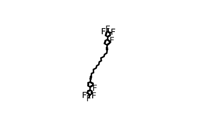 Fc1cc(C#CCCCCCCCCCCCCC#Cc2ccc(-c3cc(F)c(F)c(F)c3)c(F)c2)ccc1-c1cc(F)c(F)c(F)c1